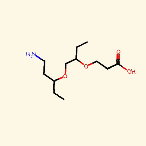 CCC(CCN)OCC(CC)OCCC(=O)O